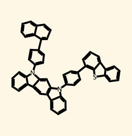 c1ccc2c(-c3ccc(-n4c5ccccc5c5cc6c7ccccc7n(-c7ccc(-c8cccc9c8sc8ccccc89)cc7)c6cc54)cc3)cccc2c1